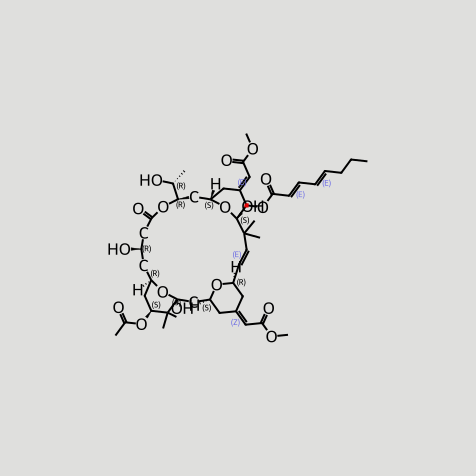 CCC/C=C/C=C/C(=O)OC1/C(=C/C(=O)OC)C[C@H]2C[C@H]([C@@H](C)O)OC(=O)C[C@H](O)C[C@@H]3C[C@H](OC(C)=O)C(C)(C)[C@](O)(C[C@@H]4C/C(=C/C(=O)OC)C[C@H](/C=C/C(C)(C)[C@]1(O)O2)O4)O3